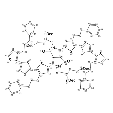 CCCCCCCCCCCCC(CCCCCCCCCC)CN1C(=O)C2=C(c3cc(CCCc4ccccc4)c(-c4ccc(-c5sccc5CCCc5ccccc5)s4)s3)N(CC(CCCCCCCCCC)CCCCCCCCCCCC)C(=O)C2=C1c1cc(CCCc2ccccc2)c(-c2ccc(-c3sccc3CCCc3ccccc3)s2)s1